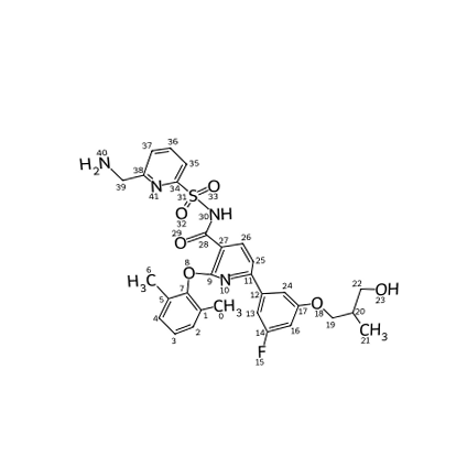 Cc1cccc(C)c1Oc1nc(-c2cc(F)cc(OCC(C)CO)c2)ccc1C(=O)NS(=O)(=O)c1cccc(CN)n1